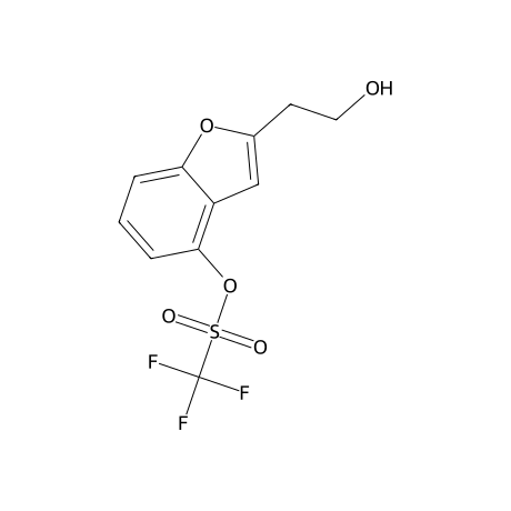 O=S(=O)(Oc1cccc2oc(CCO)cc12)C(F)(F)F